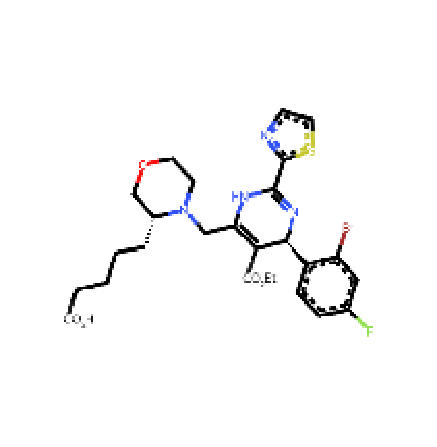 CCOC(=O)C1=C(CN2CCOC[C@H]2CCCCC(=O)O)NC(c2nccs2)=N[C@H]1c1ccc(F)cc1Br